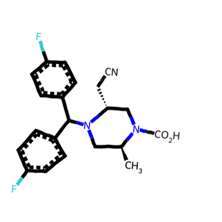 C[C@H]1CN(C(c2ccc(F)cc2)c2ccc(F)cc2)[C@H](CC#N)CN1C(=O)O